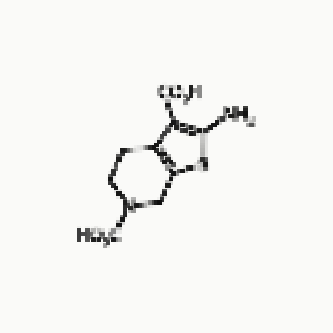 Nc1sc2c(c1C(=O)O)CCN(C(=O)O)C2